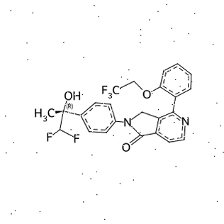 C[C@@](O)(c1ccc(N2Cc3c(ccnc3-c3ccccc3OCC(F)(F)F)C2=O)cc1)C(F)F